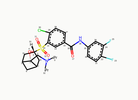 CC(C)N(C[C@]1(O)C2CC1C[C@@H](S(=O)(=O)c1cc(C(=O)Nc3ccc(F)c(F)c3)ccc1Cl)C2)C(C)C